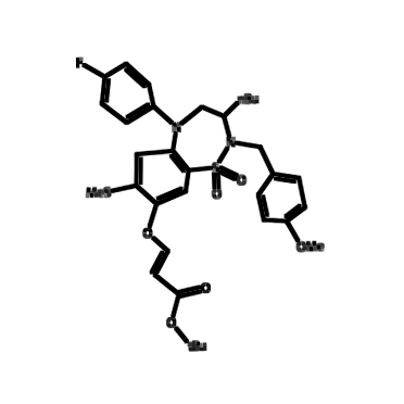 CCCCC1CN(c2ccc(F)cc2)c2cc(SC)c(O/C=C/C(=O)OC(C)(C)C)cc2S(=O)(=O)N1Cc1ccc(OC)cc1